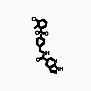 Cc1c(Cl)cccc1S(=O)(=O)c1ccc(CNC(=O)c2cnc3[nH]ncc3c2)cc1